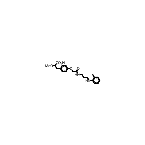 COC(Cc1ccc(OCC(=O)NCCCNc2ccccc2C)cc1)C(=O)O